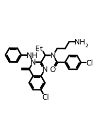 C=C1c2ccc(Cl)cc2N=C(C(CC)N(CCCN)C(=O)c2ccc(Cl)cc2)N1Nc1ccccc1